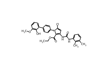 CCOC(=O)c1c(NC(=O)Nc2cccc(C)c2C)cc(Cl)n1-c1ccc(-c2cccc(OC)c2O)cc1